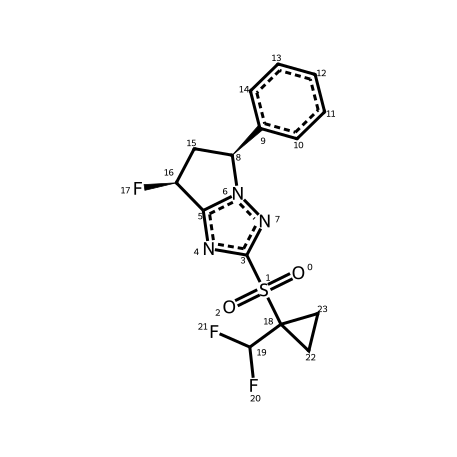 O=S(=O)(c1nc2n(n1)[C@H](c1ccccc1)C[C@@H]2F)C1(C(F)F)CC1